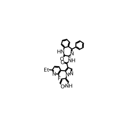 CCc1ccc(-c2c(C(=O)N[C@H]3N=C(c4ccccc4)c4ccccc4NC3=O)cnn2C2=CNOC=C2)c(F)n1